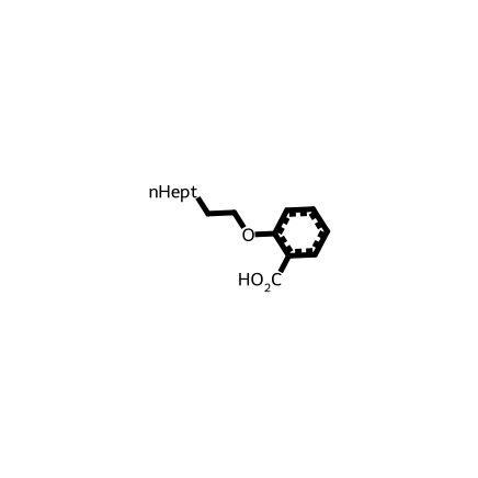 CCCCCCCCCOc1ccccc1C(=O)O